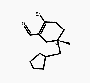 C[C@]1(CC2CCCC2)CCC(Br)=C(C=O)C1